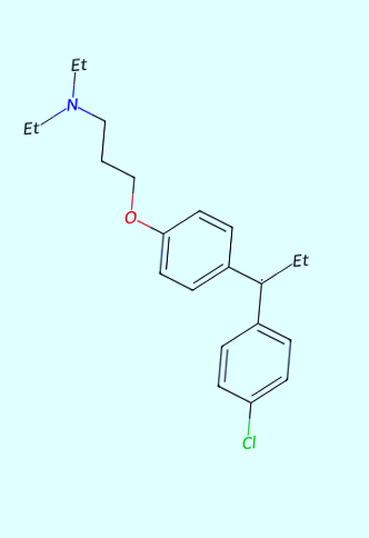 CC[C](c1ccc(Cl)cc1)c1ccc(OCCCN(CC)CC)cc1